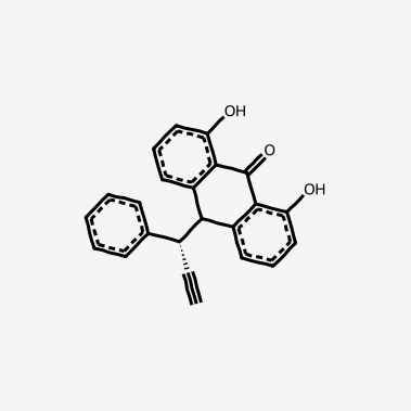 C#C[C@H](c1ccccc1)C1c2cccc(O)c2C(=O)c2c(O)cccc21